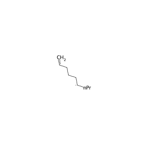 C=CCCC[CH]CCC